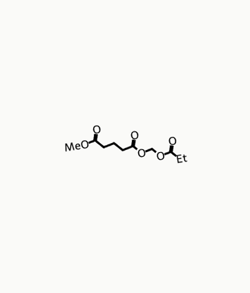 CCC(=O)OCOC(=O)CCCC(=O)OC